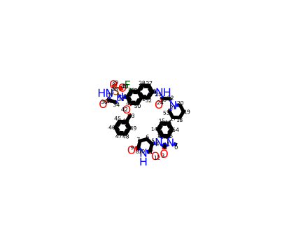 Cn1c(=O)n(C2CCC(=O)NC2=O)c2ccc([C@H]3CCCN(CC(=O)Nc4ccc5c(F)c(N6CC(=O)NS6(=O)=O)c(OCc6ccccc6)cc5c4)C3)cc21